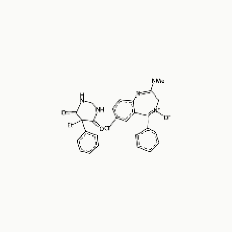 CCC1(c2ccccc2)C(=O)NCNC1=O.CNC1=Nc2ccc(Cl)cc2C(c2ccccc2)=[N+]([O-])C1